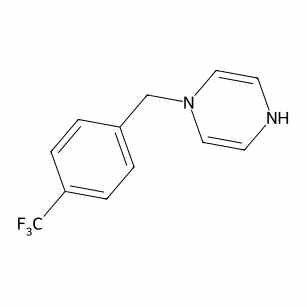 FC(F)(F)c1ccc(CN2C=CNC=C2)cc1